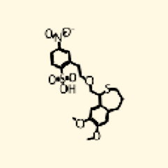 COc1cc2c(cc1OC)C(COCCc1cc([N+](=O)[O-])ccc1S(=O)(=O)O)SCCC2